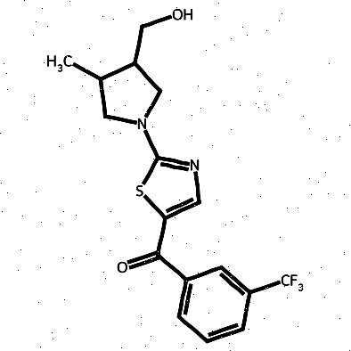 CC1CN(c2ncc(C(=O)c3cccc(C(F)(F)F)c3)s2)CC1CO